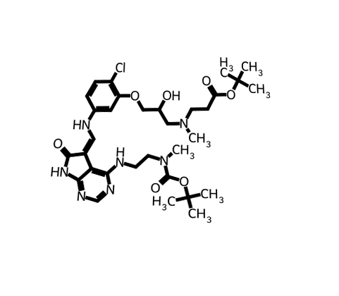 CN(CCC(=O)OC(C)(C)C)CC(O)COc1cc(N/C=C2\C(=O)Nc3ncnc(NCCN(C)C(=O)OC(C)(C)C)c32)ccc1Cl